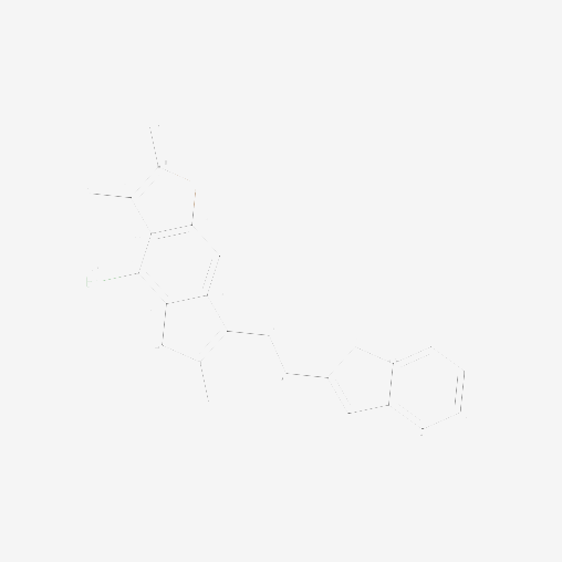 CC1=C(CCC2=Cc3ccccc3C2)c2cc3sc(C)c(C)c3c(Br)c2C1